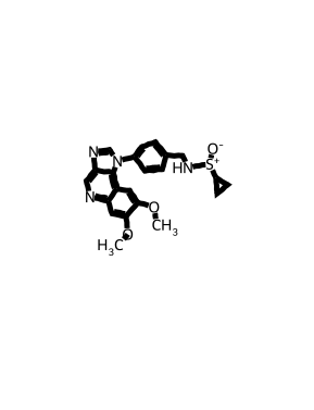 COc1cc2ncc3ncn(-c4ccc(CN[S+]([O-])C5CC5)cc4)c3c2cc1OC